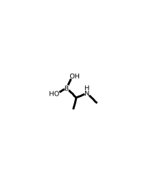 CNC(C)B(O)O